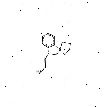 NCCN1CC2(CCCC2)c2ccccc21